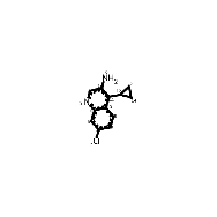 Nc1cnc2cc(Cl)ccc2c1C1CC1